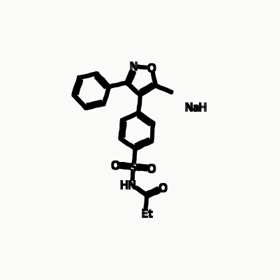 CCC(=O)NS(=O)(=O)c1ccc(-c2c(-c3ccccc3)noc2C)cc1.[NaH]